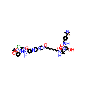 COc1cc(N2CCC(N3CCN(C(=O)CCCCCCCC(=O)N[C@H](C(=O)N4C[C@H](O)C[C@H]4C(=O)NCc4ccc(-c5scnc5C)cc4)C(C)(C)C)CC3)CC2)ccc1Nc1ncc(Cl)c(Nc2ccccc2S(=O)(=O)C(C)C)n1